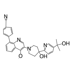 COc1c(N2CCC(O)(c3ccc(C(C)(C)O)cn3)CC2)cnc2c(-c3ccc(C#N)cc3)cccc12